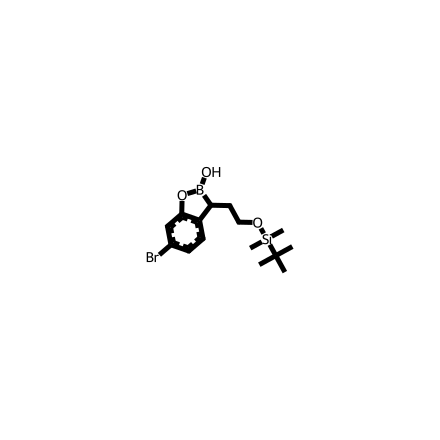 CC(C)(C)[Si](C)(C)OCCC1B(O)Oc2cc(Br)ccc21